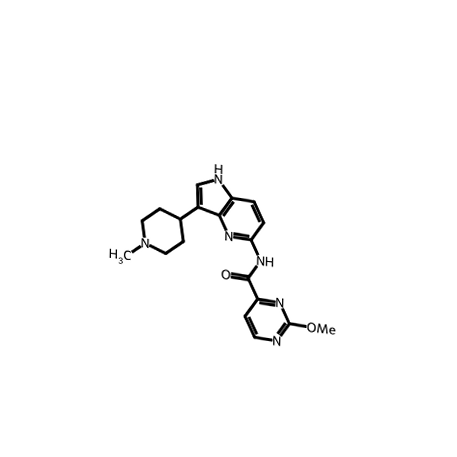 COc1nccc(C(=O)Nc2ccc3[nH]cc(C4CCN(C)CC4)c3n2)n1